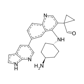 N[C@H]1CC[C@H](Nc2c(C3(C=O)CC3)cnc3ccc(-c4cnc5[nH]ccc5c4)cc23)CC1